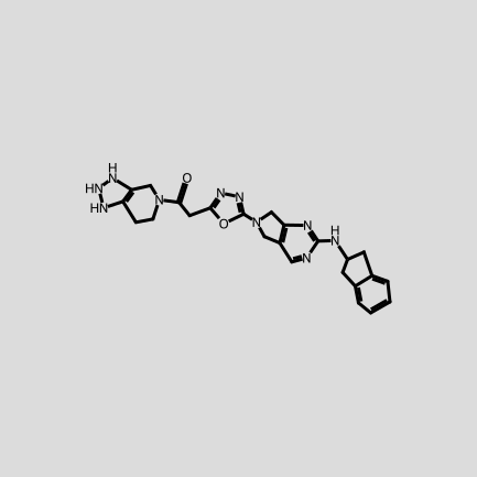 O=C(Cc1nnc(N2Cc3cnc(NC4Cc5ccccc5C4)nc3C2)o1)N1CCC2=C(C1)NNN2